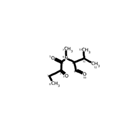 CCC(=O)C(=O)N(C)C([C]=O)C(C)C